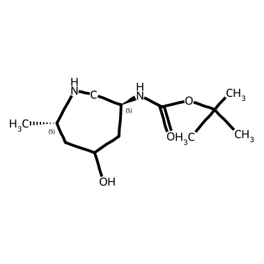 C[C@H]1CC(O)C[C@H](NC(=O)OC(C)(C)C)CN1